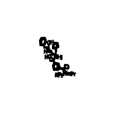 CCCN(CCC)C(=O)c1cccc(C(=O)N[C@@H](Cc2ccccc2)[C@H](O)CN[C@@H](CO)Cc2ccccc2)c1